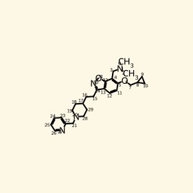 CN(C)Cc1c(OCC2CC2)ccc2c(CCC3CCN(Cc4ccccn4)CC3)noc12